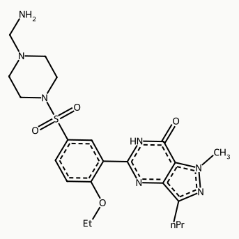 CCCc1nn(C)c2c(=O)[nH]c(-c3cc(S(=O)(=O)N4CCN(CN)CC4)ccc3OCC)nc12